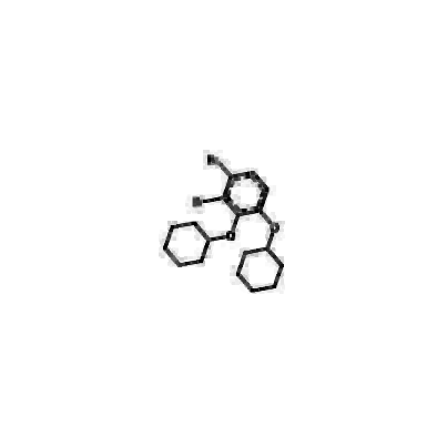 Brc1ccc(OC2CCCCC2)c(OC2CCCCC2)c1Br